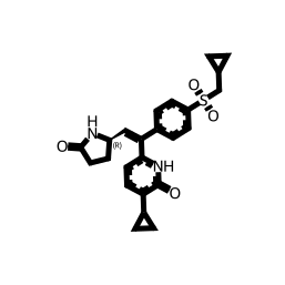 O=C1CC[C@H](C=C(c2ccc(S(=O)(=O)CC3CC3)cc2)c2ccc(C3CC3)c(=O)[nH]2)N1